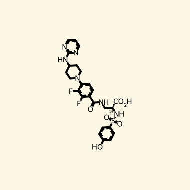 O=C(NC[C@H](NS(=O)(=O)c1ccc(O)cc1)C(=O)O)c1ccc(N2CCC(Nc3ncccn3)CC2)c(F)c1F